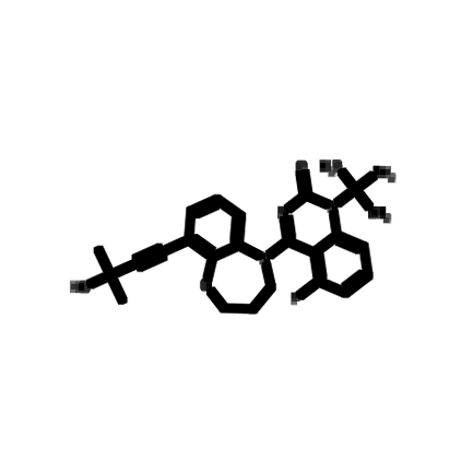 BC(B)(B)n1c(=O)nc(N2CCCOc3c(C#CC(C)(C)O)cccc32)c2c(F)cccc21